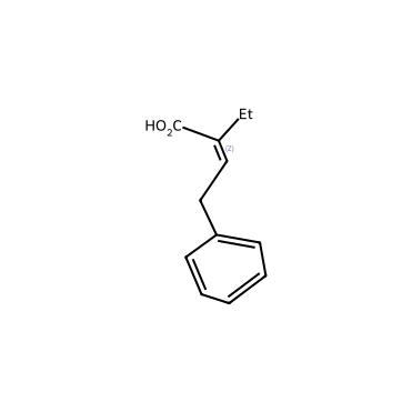 CC/C(=C/Cc1ccccc1)C(=O)O